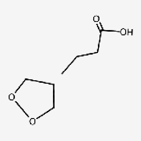 C1COOC1.CCCC(=O)O